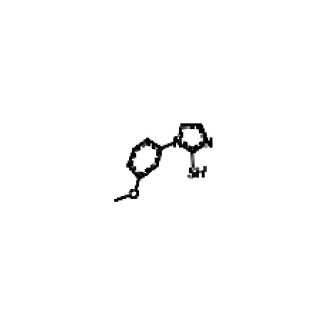 COc1cccc(-n2ccnc2S)c1